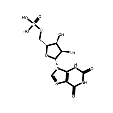 O=c1[nH]c(=O)c2ncn([C@@H]3O[C@H](COP(=O)(O)O)[C@@H](O)[C@H]3O)c2[nH]1